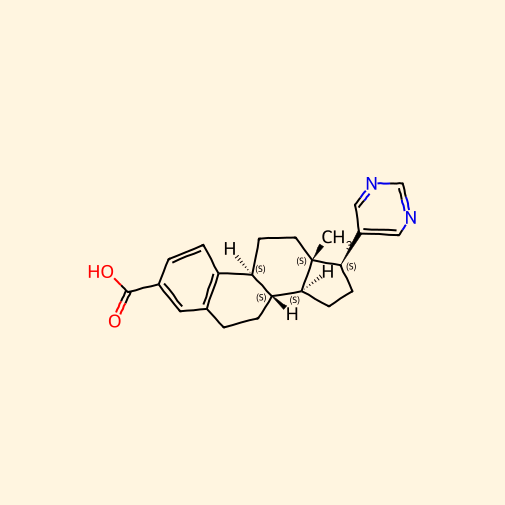 C[C@]12CC[C@@H]3c4ccc(C(=O)O)cc4CC[C@H]3[C@@H]1CC[C@@H]2c1cncnc1